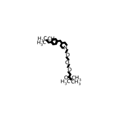 CC(C)(C)Cc1ccc(CC2CCN(CCOCCOCCOCCC(=O)C(C)(C)C)CC2)cc1